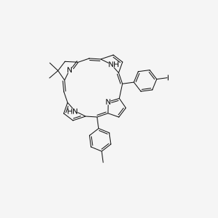 Cc1ccc(-c2c3nc(c(-c4ccc(I)cc4)c4ccc(cc5nc(cc6ccc2[nH]6)C(C)(C)C5)[nH]4)C=C3)cc1